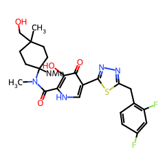 CNC1(N(C)C(=O)c2[nH]cc(-c3nnc(Cc4ccc(F)cc4F)s3)c(=O)c2O)CCC(C)(CO)CC1